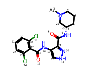 CC(=O)N1CCC[C@H](NC(=O)c2n[nH]cc2NC(=O)c2c(Cl)cccc2Cl)C1